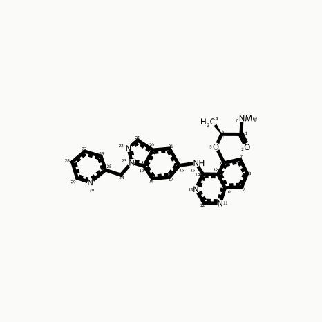 CNC(=O)[C@H](C)Oc1cccc2ncnc(Nc3ccc4c(cnn4Cc4ccccn4)c3)c12